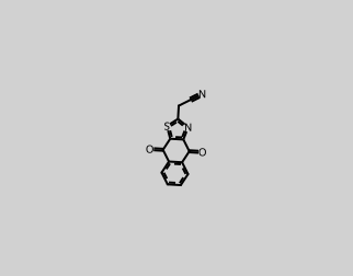 N#CCc1nc2c(s1)C(=O)c1ccccc1C2=O